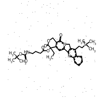 CCC1(OC(=O)CCCNC(=O)OC(C)(C)C)C(=O)OCc2c1cc1n(c2=O)Cc2c-1nc1ccccc1c2CC[Si](C)(C)C